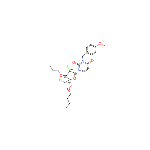 CCCCOC[C@@]1(CF)O[C@@H](n2ccc(=O)n(Cc3ccc(OC)cc3)c2=O)[C@H](F)[C@@H]1OCCCC